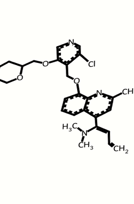 C=C/C=C(/c1cc(C)nc2c(OCc3c(Cl)cncc3OCC3CCCCO3)cccc12)N(C)C